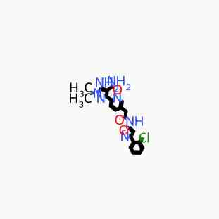 CC(C)n1nc(-c2ccc(CC(=O)Nc3cc(-c4ccccc4Cl)no3)cn2)c(C(N)=O)c1N